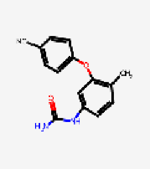 Cc1ccc(NC(N)=O)cc1Oc1ccc(C#N)cc1